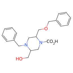 O=C(O)N1CC(CO)N(Cc2ccccc2)CC1COCc1ccccc1